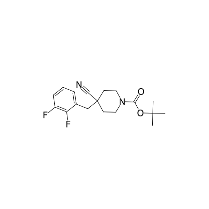 CC(C)(C)OC(=O)N1CCC(C#N)(Cc2cccc(F)c2F)CC1